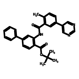 Cc1ccc(-c2cncnc2)cc1C(=O)Nc1cc(-c2ccccc2)ccc1C(=O)OC(C)(C)C